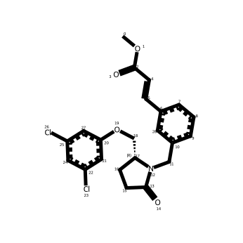 COC(=O)C=Cc1cccc(CN2C(=O)CC[C@@H]2COc2cc(Cl)cc(Cl)c2)c1